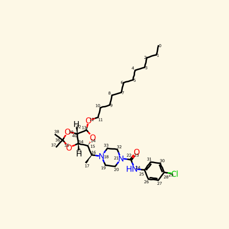 CCCCCCCCCCCCO[C@H]1O[C@H]([C@H](C)N2CCN(C(=O)Nc3ccc(Cl)cc3)CC2)[C@@H]2OC(C)(C)O[C@H]12